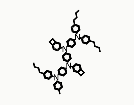 CCCCc1ccc(N(c2ccc(C)cc2)c2ccc(N(c3ccc(N(c4ccc(N(c5ccc(CCCC)cc5)c5ccc(CCCC)cc5)cc4)c4ccc5c(c4)CC5)cc3)c3ccc4c(c3)CC4)cc2)cc1